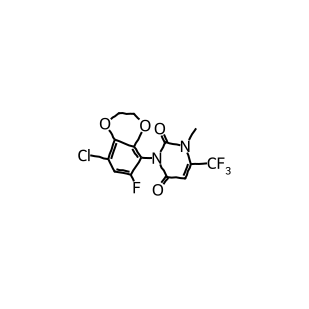 Cn1c(C(F)(F)F)cc(=O)n(-c2c(F)cc(Cl)c3c2OCCO3)c1=O